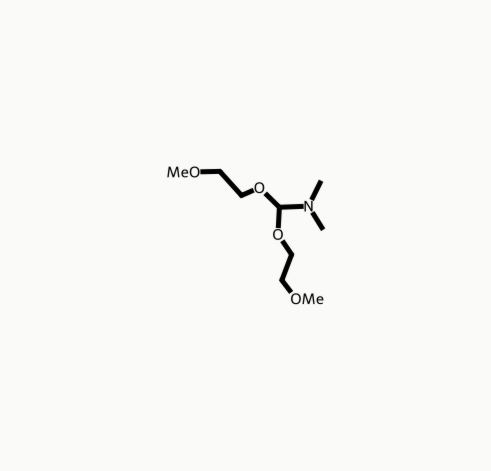 COCCOC(OCCOC)N(C)C